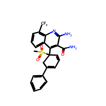 CS(=O)(=O)C1(c2c(C(N)=O)c(N)nc3c(C(F)(F)F)cccc23)C=CC=C(c2ccccc2)C1